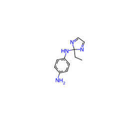 CCC1(Nc2ccc(N)cc2)N=CC=N1